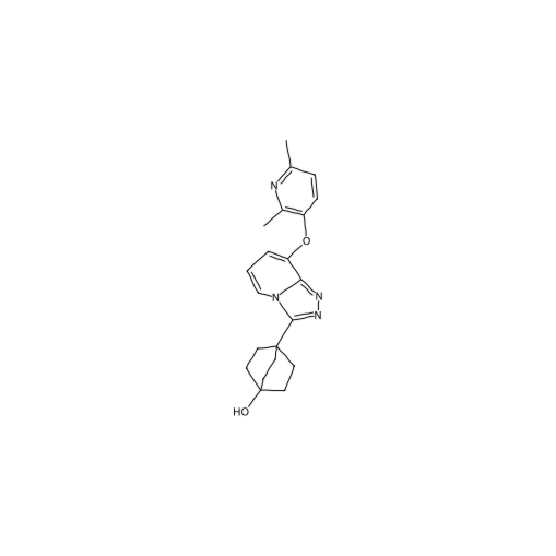 Cc1ccc(Oc2cccn3c(C45CCC(O)(CC4)CC5)nnc23)c(C)n1